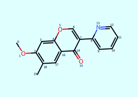 COc1cc2occ(-c3ccccn3)c(=O)c2cc1C